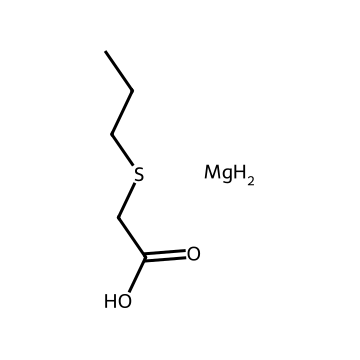 CCCSCC(=O)O.[MgH2]